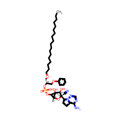 CCCCCCCCCCCCCCCCCCOC[C@H](COc1ccccc1)OP(=O)(O)OC1[C@H]2O[C@@](C#N)(c3ccc4c(N)ncnn34)[C@H](O)[C@@]12O